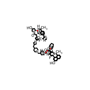 CCc1cccc2cc(O)cc(-c3ncc4c(N5CC6CCC(C5)N6C(=O)OC(C)(C)C)nc(N5CCC(CN6CCC(CC7CN(c8cc([C@H](C(=O)N9C[C@H](O)C[C@H]9C(=O)N[C@@H](C)c9ccc(-c%10scnc%10C)cc9)C(C)C)on8)C7)CC6)CC5)nc4c3F)c12